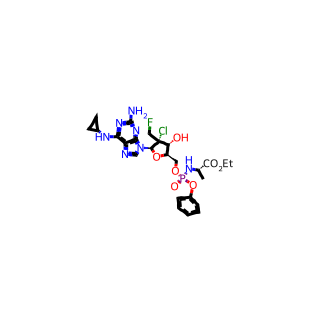 CCOC(=O)[C@H](C)NP(=O)(OC[C@H]1O[C@@H](n2cnc3c(NC4CC4)nc(N)nc32)[C@@](Cl)(CF)[C@@H]1O)Oc1ccccc1